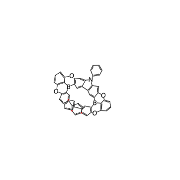 c1ccc(-c2ccc3c(c2)B2c4cc5c6cc7c(cc6n(-c6ccccc6)c5cc4Oc4cccc(c42)O3)Oc2cccc3c2B7c2cc(-c4ccccc4)ccc2O3)cc1